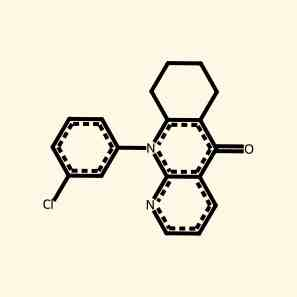 O=c1c2c(n(-c3cccc(Cl)c3)c3ncccc13)CCCC2